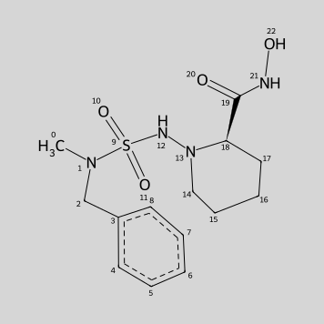 CN(Cc1ccccc1)S(=O)(=O)NN1CCCC[C@@H]1C(=O)NO